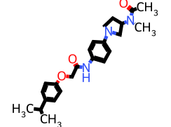 CC(=O)N(C)C1CCN(c2ccc(NC(=O)COc3ccc(C(C)C)cc3)cc2)C1